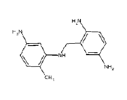 Cc1ccc(N)cc1NCc1cc(N)ccc1N